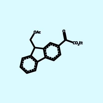 CCOC(=O)C(=O)c1ccc2c(c1)C(COC(C)=O)c1ccccc1-2